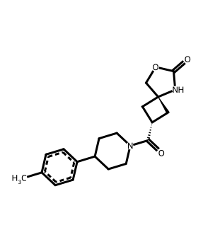 Cc1ccc(C2CCN(C(=O)[C@H]3C[C@]4(COC(=O)N4)C3)CC2)cc1